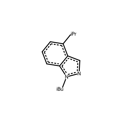 CCC(C)n1ncc2c(C(C)C)cccc21